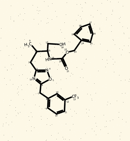 CC(Cc1noc(Cc2cccc(C(F)(F)F)c2)n1)C(CO)NC(=O)OCc1ccccc1